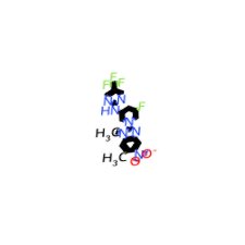 Cc1cc2c(cc1[N+](=O)[O-])nc(N1CC(F)C[C@@H](Nc3ncc(C(F)(F)F)cn3)C1)n2C